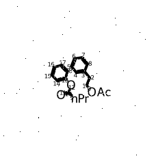 CC(=O)OCCc1ccccc1.CCCC(=O)Oc1ccccc1